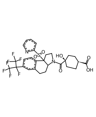 O=C(O)[C@H]1CC[C@](O)(C(=O)N2CCC3(S(=O)(=O)c4ccccn4)c4ccc(C(F)(C(F)(F)F)C(F)(F)F)cc4CCC23)CC1